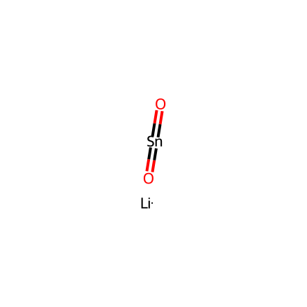 [Li].[O]=[Sn]=[O]